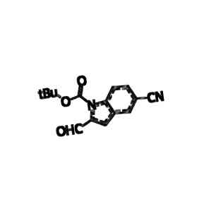 CC(C)(C)OC(=O)n1c(C=O)cc2cc(C#N)ccc21